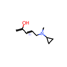 C=C(O)/C=C/CN(C)C1CC1